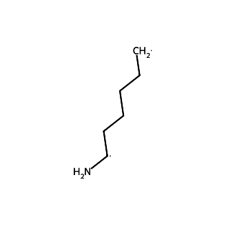 [CH2]CCCC[CH]N